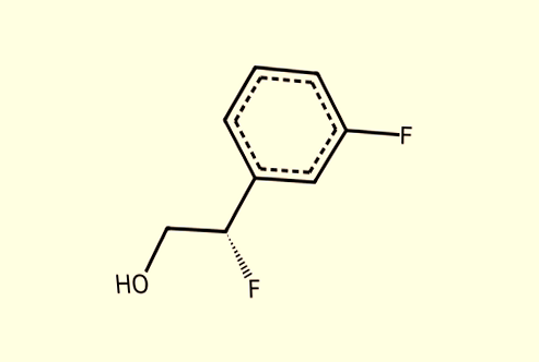 OC[C@@H](F)c1cccc(F)c1